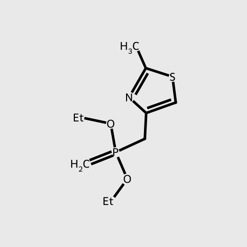 C=P(Cc1csc(C)n1)(OCC)OCC